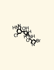 O=C(N[C@@H]1[C@@H]2C[C@@](O)(c3cc(Cl)cc4[nH]ncc34)C[C@@H]21)c1cncc(Br)c1